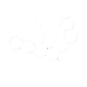 CN(C(=O)CCc1ccc2ccccc2c1)C(Cc1ccc2ccccc2c1)C(=O)NCCCN